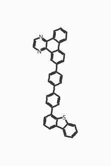 c1ccc2c(c1)sc1c(-c3ccc(-c4ccc(-c5ccc6c7ccccc7c7nccnc7c6c5)cc4)cc3)cccc12